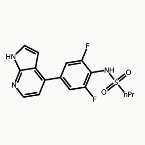 CCCS(=O)(=O)Nc1c(F)cc(-c2ccnc3[nH]ccc23)cc1F